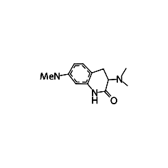 CNc1ccc2c(c1)NC(=O)C(N(C)C)C2